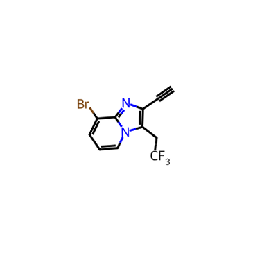 C#Cc1nc2c(Br)cccn2c1CC(F)(F)F